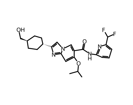 CC(C)Oc1cc2nc([C@H]3CC[C@H](CO)CC3)cn2cc1C(=O)Nc1cccc(C(F)F)n1